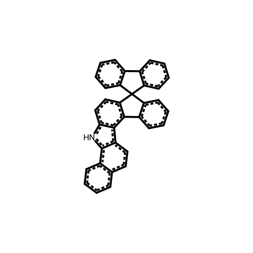 c1ccc2c(c1)-c1ccccc1C21c2ccccc2-c2c1ccc1[nH]c3c4ccccc4ccc3c21